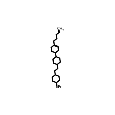 C=CCCCC1=CCC(C2CCC(CCC3CCC(CCC)CC3)CC2)CC1